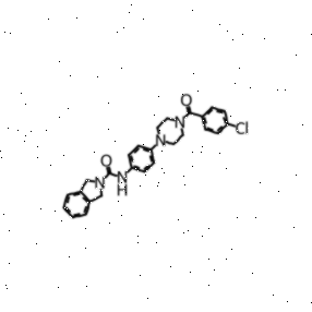 O=C(Nc1ccc(N2CCN(C(=O)c3ccc(Cl)cc3)CC2)cc1)N1Cc2ccccc2C1